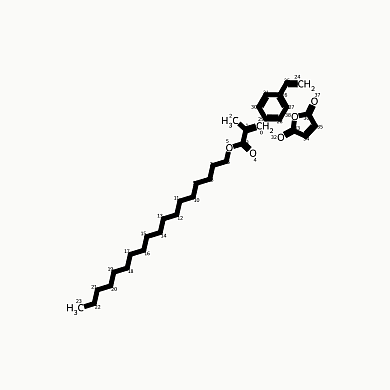 C=C(C)C(=O)OCCCCCCCCCCCCCCCCCC.C=Cc1ccccc1.O=C1C=CC(=O)O1